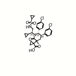 C[C@]1(C2(C(=O)O)CC2)C[C@H](c2cccc(Cl)c2)[C@@H](c2ccc(Cl)cc2)N([C@H](CNS(=O)(=O)C2CC2)C2CC2)C1=O